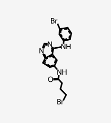 O=C(CCCBr)Nc1ccc2ncnc(Nc3cccc(Br)c3)c2c1